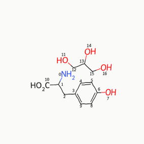 NC(Cc1ccc(O)cc1)C(=O)O.OCC(O)CO